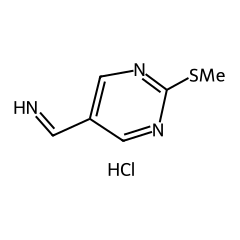 CSc1ncc(C=N)cn1.Cl